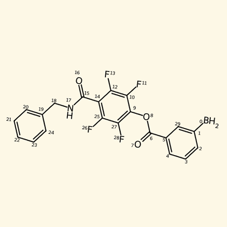 Bc1cccc(C(=O)Oc2c(F)c(F)c(C(=O)NCc3ccccc3)c(F)c2F)c1